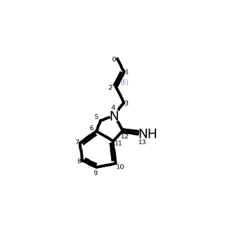 C/C=C/CN1Cc2ccccc2C1=N